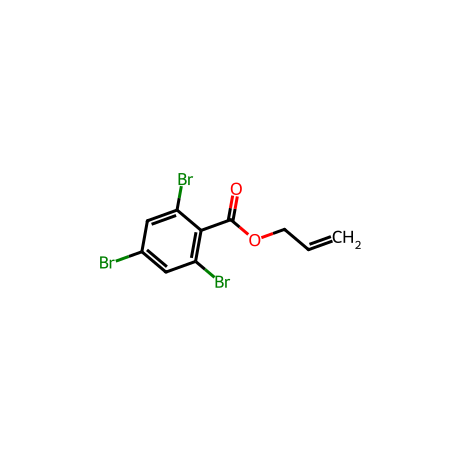 C=CCOC(=O)c1c(Br)cc(Br)cc1Br